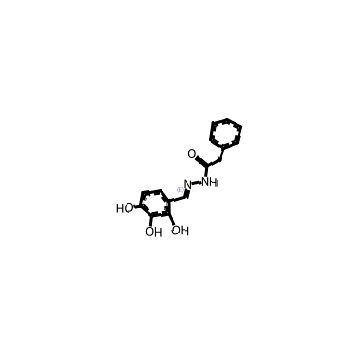 O=C(Cc1ccccc1)N/N=C/c1ccc(O)c(O)c1O